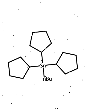 CCC[CH2][Sn]([CH]1CCCC1)([CH]1CCCC1)[CH]1CCCC1